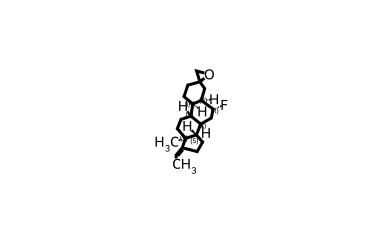 CC=C1CC[C@H]2[C@@H]3C[C@@H](F)[C@@H]4CC5(CC[C@@H]4[C@H]3CC[C@]12C)CO5